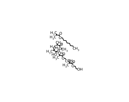 C=C(C)C(=O)O.C=C(C)C(=O)OC.C=C(C)C(=O)OCC.C=C(C)C(=O)OCCCCCCCC.C=C(C)C(=O)OCCO